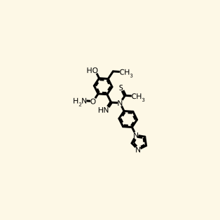 CCc1cc(C(=N)N(C(C)=S)c2ccc(-n3ccnc3)cc2)c(ON)cc1O